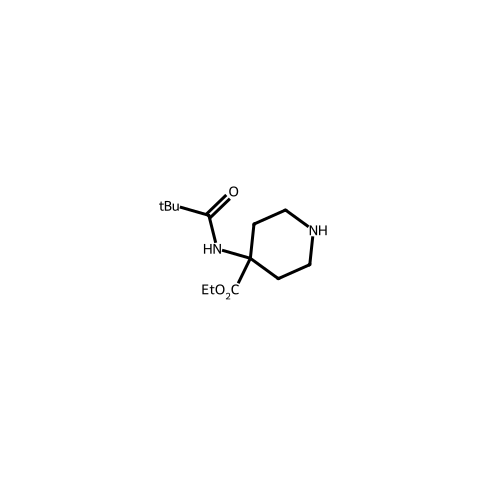 CCOC(=O)C1(NC(=O)C(C)(C)C)CCNCC1